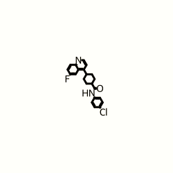 O=C(Nc1ccc(Cl)cc1)C1CCC(c2ccnc3ccc(F)cc23)CC1